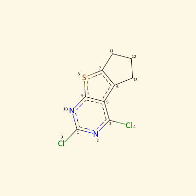 Clc1nc(Cl)c2c3c(sc2n1)CCC3